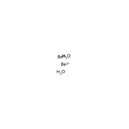 O.O.[Be+2].[Be+2]